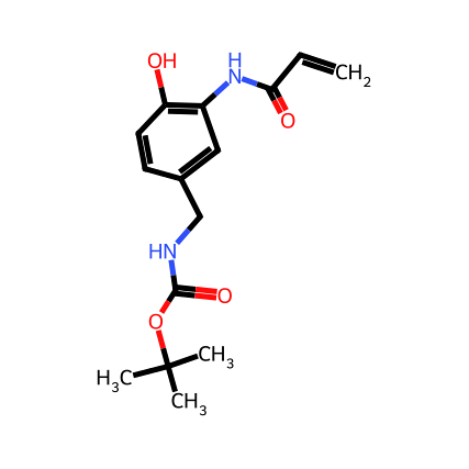 C=CC(=O)Nc1cc(CNC(=O)OC(C)(C)C)ccc1O